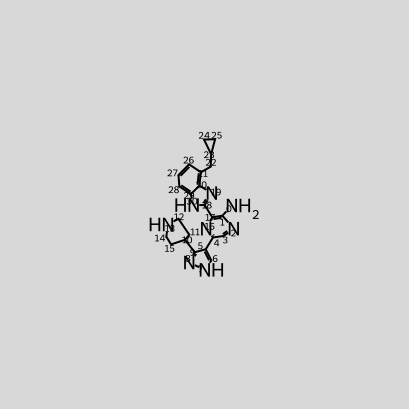 Nc1ncc(-c2c[nH]nc2C2CCNCC2)nc1-c1nc2c(CC3CC3)cccc2[nH]1